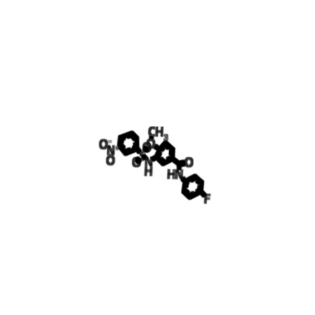 COc1ccc(C(=O)Nc2ccc(F)cc2)cc1NS(=O)(=O)c1cccc([N+](=O)[O-])c1